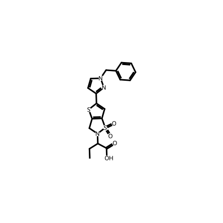 CCC(C(=O)O)N1Cc2sc(-c3ccn(Cc4ccccc4)n3)cc2S1(=O)=O